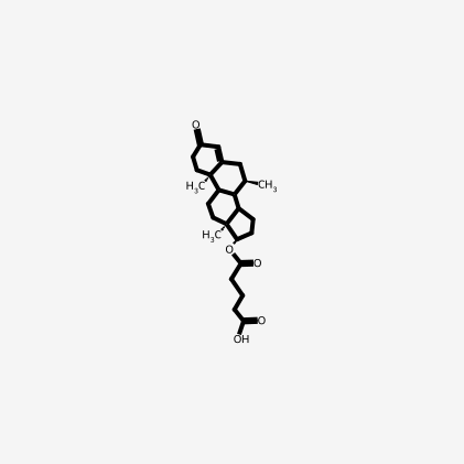 C[C@@H]1CC2=CC(=O)CC[C@]2(C)C2CC[C@@]3(C)C(CC[C@@H]3OC(=O)CCCC(=O)O)C21